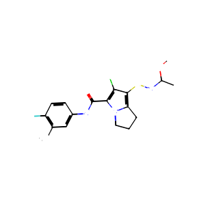 CC(NSc1c(Cl)c(C(=O)Nc2ccc(F)c(C#N)c2)n2c1CCC2)OC(F)(F)F